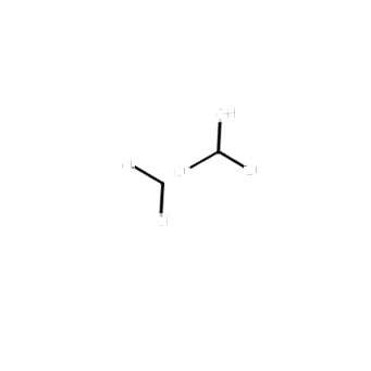 CCC(O)CC.ClCCl